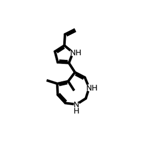 C=Cc1ccc(C2=C\NCN\C=C/C(C)=C/2C)[nH]1